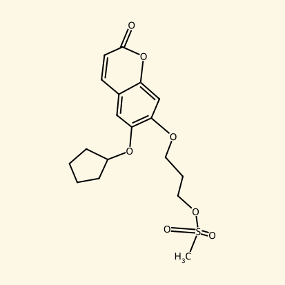 CS(=O)(=O)OCCCOc1cc2oc(=O)ccc2cc1OC1CCCC1